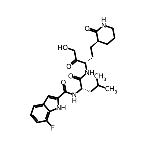 CC(C)C[C@H](NC(=O)c1cc2cccc(F)c2[nH]1)C(=O)N[C@@H](CC[C@@H]1CCCNC1=O)C(=O)CO